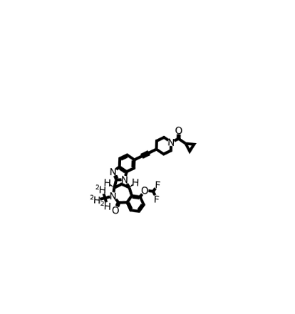 [2H]C([2H])([2H])N1C(=O)c2cccc(OC(F)F)c2[C@H]2C[C@@H]1c1nc3ccc(C#CC4CCN(C(=O)C5CC5)CC4)cc3n12